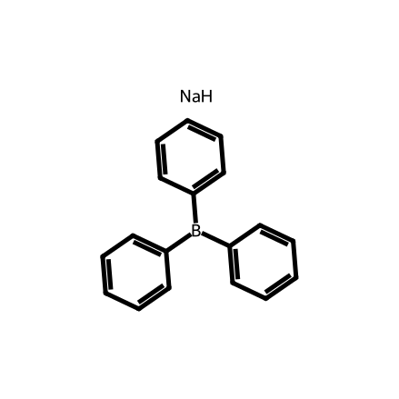 [NaH].c1ccc(B(c2ccccc2)c2ccccc2)cc1